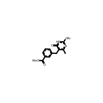 CCCCc1nc(C)c(Cc2cccc(C(=O)OC)c2)c(=O)[nH]1